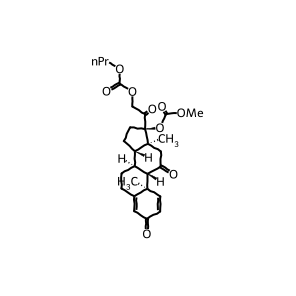 CCCOC(=O)OCC(=O)[C@@]1(OC(=O)OC)CC[C@H]2[C@@H]3CCC4=CC(=O)C=C[C@]4(C)[C@H]3C(=O)C[C@@]21C